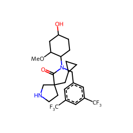 COC1CC(O)CCC1N(Cc1cc(C(F)(F)F)cc(C(F)(F)F)c1)C(=O)C1(CC2CC2)CCNC1